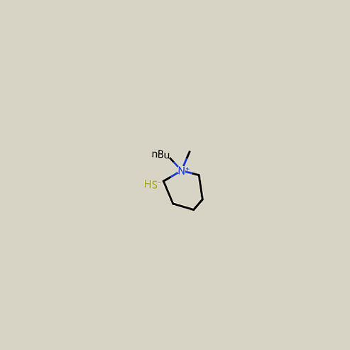 CCCC[N+]1(C)CCCCC1.[SH-]